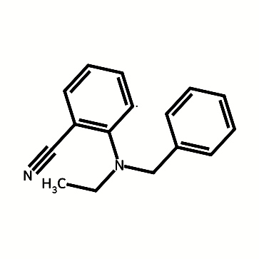 CCN(Cc1ccccc1)c1[c]cccc1C#N